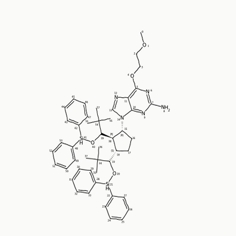 COCCOc1nc(N)nc2c1ncn2[C@@H]1CC[C@H](C(O[SiH](c2ccccc2)c2ccccc2)C(C)(C)C)[C@H]1C(O[SiH](c1ccccc1)c1ccccc1)C(C)(C)C